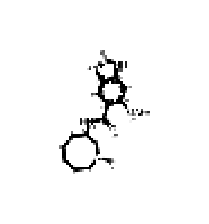 CCN1CCCCCC(NC(=O)c2cc3nn[nH]c3cc2OC)C1